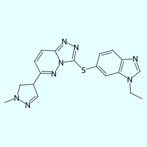 CCn1cnc2ccc(Sc3nnc4ccc(C5C=NN(C)C5)nn34)cc21